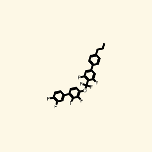 CCCc1ccc(-c2cc(F)c(C(F)(F)Oc3ccc(-c4ccc(F)c(F)c4)c(F)c3F)c(F)c2)cc1